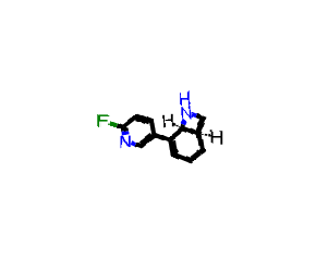 Fc1ccc(C2=CCC[C@@H]3CN[C@H]23)cn1